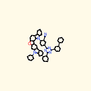 N#Cc1cc(-c2nc(-c3ccccc3)nc(-c3cccc(-c4ccccc4)c3)n2)ccc1-n1c2ccccc2c2ccc3oc4cc5c(cc4c3c21)c1ccccc1n5-c1ccccc1